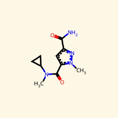 CN(C(=O)c1[c]c(C(N)=O)nn1C)C1CC1